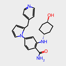 NC(=O)c1ccc(-n2cccc2Cc2ccncc2)cc1N[C@H]1CC[C@H](O)CC1